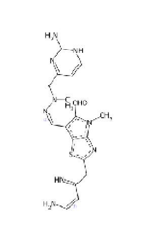 CN(CC1=NC(N)NC=C1)/N=C\c1c(C=O)n(C)c2nc(CC(=N)/C=C\N)sc12